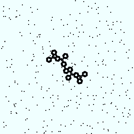 c1ccc(N(c2ccc(-c3cccc4c(N(c5ccccc5)c5ccc6c(c5)c5ccccc5n6-c5ccccc5)cccc34)cc2)c2ccc3c(c2)c2ccccc2n3-c2ccccc2)cc1